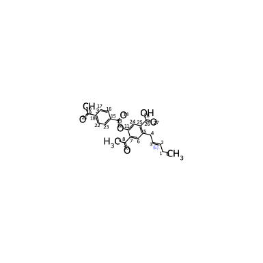 CC/C=C/Cc1cc(C(C)=O)c(OC(=O)c2ccc(C(C)=O)cc2)cc1C(=O)O